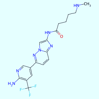 CNCCCCC(=O)Nc1cn2nc(-c3cnc(N)c(C(F)(F)F)c3)ccc2n1